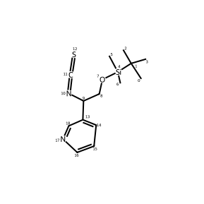 CC(C)(C)[Si](C)(C)OCC(N=C=S)c1cccnc1